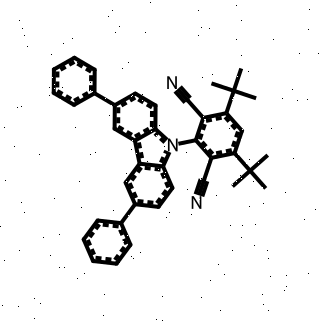 CC(C)(C)c1cc(C(C)(C)C)c(C#N)c(-n2c3ccc(-c4ccccc4)cc3c3cc(-c4ccccc4)ccc32)c1C#N